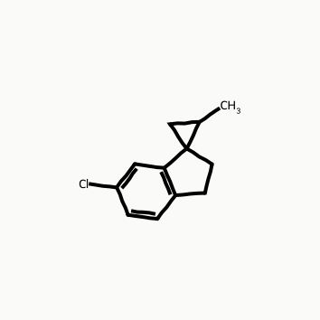 CC1CC12CCc1ccc(Cl)cc12